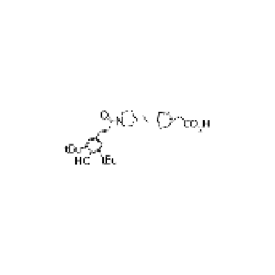 CC(C)(C)c1cc(C=CC(=O)N2CCN(CCc3ccc(CC(=O)O)cc3)CC2)cc(C(C)(C)C)c1O